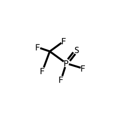 FC(F)(F)P(F)(F)=S